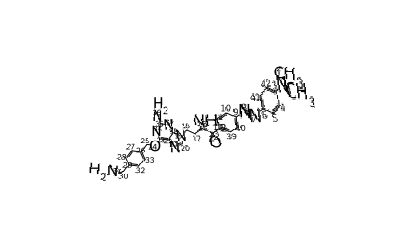 CN(C)c1ccc(N=Nc2ccc(C(=O)C(N)CCn3cnc4c(OCc5ccc(CN)cc5)nc(N)nc43)cc2)cc1